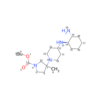 CC(C)(C)OC(=O)N1CCC(C)(N2CCC(N[C@@H]3CCCC[C@H]3N)CC2)C1